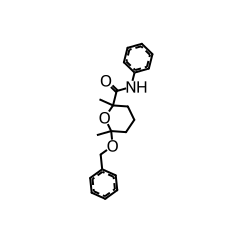 CC1(OCc2ccccc2)CCCC(C)(C(=O)Nc2ccccc2)O1